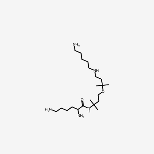 CC(C)(CCOC(C)(C)CCNCCCCCN)NC(=O)C(N)CCCCN